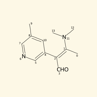 CC(=C(C=O)c1cncc(C)c1)N(C)C